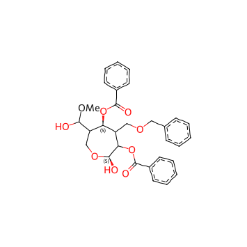 COC(O)C1CO[C@H](O)C(OC(=O)c2ccccc2)C(COCc2ccccc2)[C@@H]1OC(=O)c1ccccc1